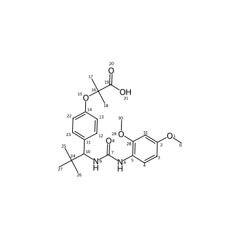 COc1ccc(NC(=O)NC(c2ccc(OC(C)(C)C(=O)O)cc2)C(C)(C)C)c(OC)c1